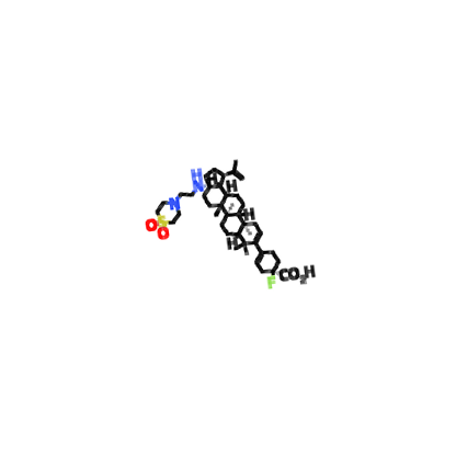 C=C(C)[C@@H]1CC[C@]2(NCCN3CCS(=O)(=O)CC3)CC[C@]3(C)[C@H](CC[C@@H]4[C@@]5(C)CC=C(C6=CC[C@@](F)(C(=O)O)CC6)C(C)(C)[C@@H]5CC[C@]43C)[C@@H]12